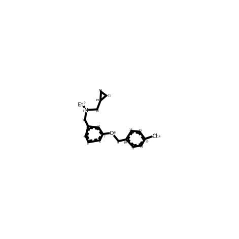 CCN(Cc1cccc(OCc2ccc(Cl)cc2)c1)CC1CC1